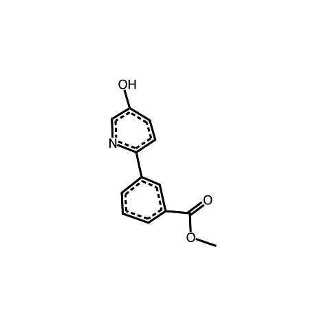 COC(=O)c1cccc(-c2ccc(O)cn2)c1